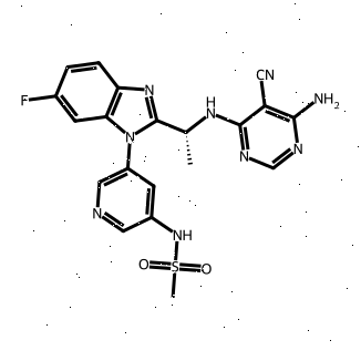 C[C@@H](Nc1ncnc(N)c1C#N)c1nc2ccc(F)cc2n1-c1cncc(NS(C)(=O)=O)c1